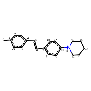 Cc1ccc(C=Cc2ccc(N3CCCCC3)cc2)cc1